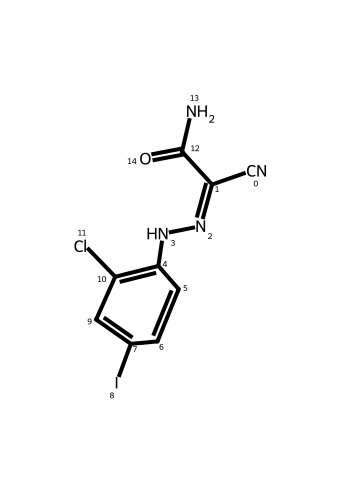 N#CC(=NNc1ccc(I)cc1Cl)C(N)=O